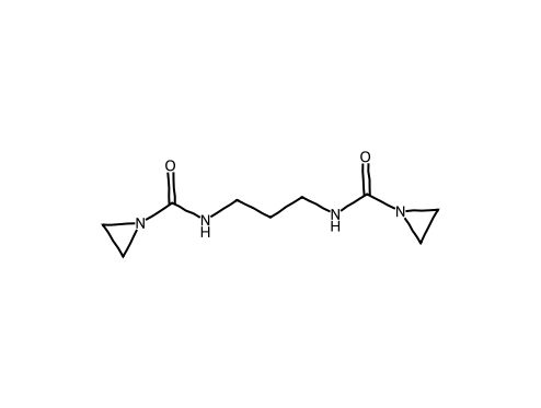 O=C(NCCCNC(=O)N1CC1)N1CC1